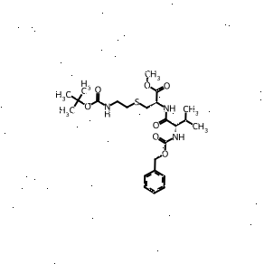 COC(=O)[C@H](CSCCNC(=O)OC(C)(C)C)NC(=O)[C@@H](NC(=O)OCc1ccccc1)C(C)C